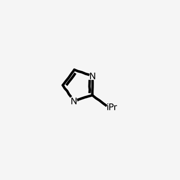 CC(C)C1=NC=C[N]1